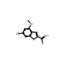 COc1cc(Cl)cc2c1C=C(C(C)=O)C2